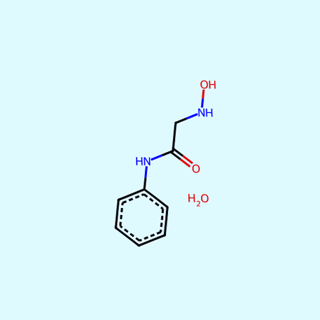 O.O=C(CNO)Nc1ccccc1